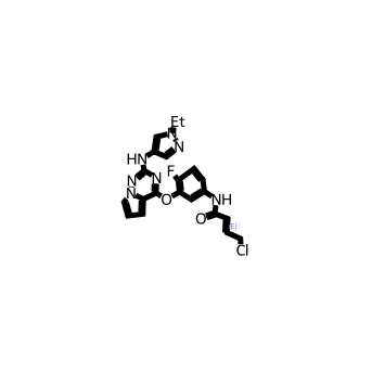 CCn1cc(Nc2nc(Oc3cc(NC(=O)/C=C/CCl)ccc3F)c3cccn3n2)cn1